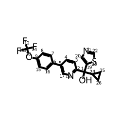 OC(c1ccc(-c2ccc(OC(F)(F)F)cc2)cn1)(c1cncs1)C1CC1